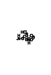 CCNCCOc1ccc2c(c1)c(C1=C(c3cccc4ccoc34)C(=O)NC1=O)cn2C.Cl